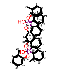 Cc1ccccc1OP(O)(OCCCOP(O)(Oc1ccccc1C)(c1ccccc1C)c1ccccc1C)(c1ccccc1C)c1ccccc1C